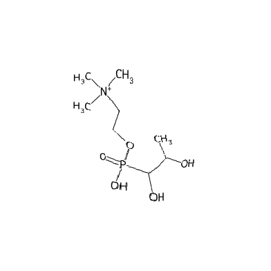 CC(O)C(O)P(=O)(O)OCC[N+](C)(C)C